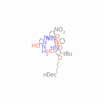 CCCCCCCCCCCCCCCCOc1cc(O)c(NS(=O)(=O)c2ccccc2S(=O)(=O)Nc2cc([N+](=O)[O-])ccc2N=Nc2ccc(O)c(N)n2)cc1C(C)(C)C